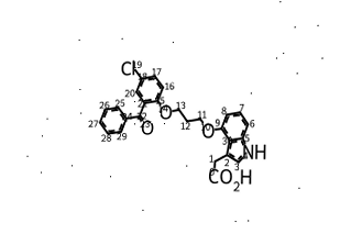 O=C(O)Cc1c[nH]c2cccc(OCCCOc3ccc(Cl)cc3C(=O)c3ccccc3)c12